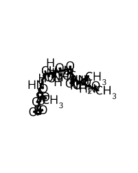 CCC(=O)NCCCCC(NC(=O)CC)C(=O)NC(CSC1CC(=O)N(CCC(=O)NCC(NC(=O)C(C)CCCCNC(=O)Cc2ccc(OC(=O)CCN3C(=O)C=CC3=O)c(OC)c2)C(N)O)C1=O)C(N)=O